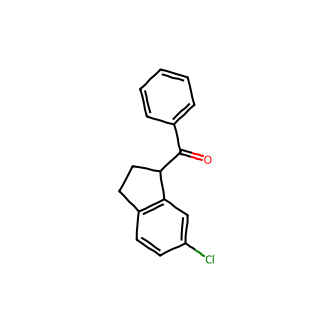 O=C(c1ccccc1)C1CCc2ccc(Cl)cc21